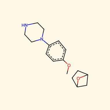 C1CC2CC1O2.COc1ccc(N2CCNCC2)cc1